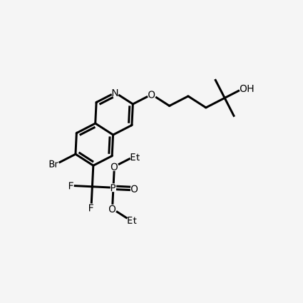 CCOP(=O)(OCC)C(F)(F)c1cc2cc(OCCCC(C)(C)O)ncc2cc1Br